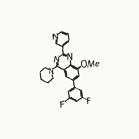 COc1cc(-c2cc(F)cc(F)c2)cc2c(N3CCCCC3)nc(-c3cccnc3)nc12